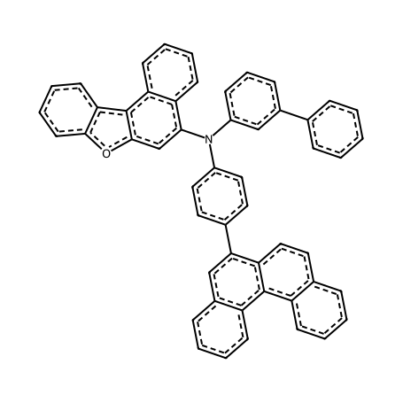 c1ccc(-c2cccc(N(c3ccc(-c4cc5ccccc5c5c4ccc4ccccc45)cc3)c3cc4oc5ccccc5c4c4ccccc34)c2)cc1